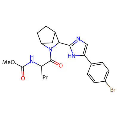 COC(=O)NC(C(=O)N1C2CCC(C2)C1c1ncc(-c2ccc(Br)cc2)[nH]1)C(C)C